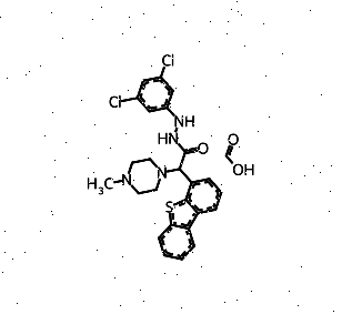 CN1CCN(C(C(=O)NNc2cc(Cl)cc(Cl)c2)c2cccc3c2sc2ccccc23)CC1.O=CO